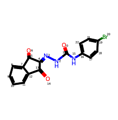 O=C(NN=c1c(=O)c2ccccc2c1=O)Nc1ccc(Br)cc1